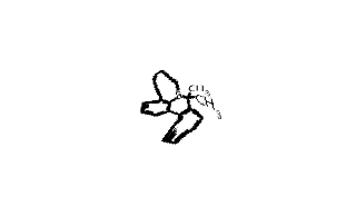 CC1(C)B2CCCc3cccc(c32)-c2ccccc21